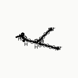 C=CCCCn1nc(C(=O)N[C@H](C(=O)NCCOCCOCCC(=O)N[C@@H](CCC(=O)NCCOCCOCCOCCOCCN=[N+]=[N-])C(=O)NCCOCCOCCOCCOCCN=[N+]=[N-])C(C)(C)C)c2ccccc21